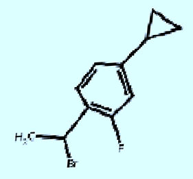 CC(Br)c1ccc(C2CC2)cc1F